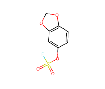 O=S(=O)(F)Oc1ccc2c(c1)OCO2